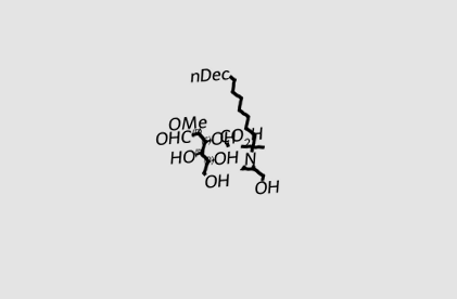 CC(=O)O.CCCCCCCCCCCCCCCCCC(C)(C)N1CC1CO.CO[C@@H](C=O)[C@@H](O)[C@H](O)[C@H](O)CO